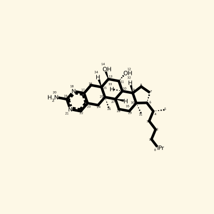 CC(C)CCC[C@@H](C)[C@H]1CC[C@H]2[C@@H]3[C@@H](O)[C@H](O)[C@H]4Cc5nc(N)ncc5C[C@]4(C)[C@H]3CC[C@]12C